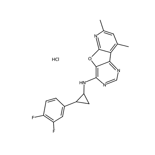 Cc1cc(C)c2c(n1)oc1c(NC3CC3c3ccc(F)c(F)c3)ncnc12.Cl